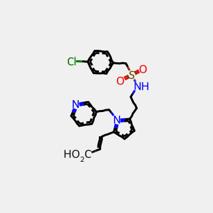 O=C(O)C=Cc1ccc(CCNS(=O)(=O)Cc2ccc(Cl)cc2)n1Cc1cccnc1